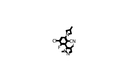 CC1CN(c2cc(Cl)c(F)c(-c3c(I)cnn3C)c2C#N)C1